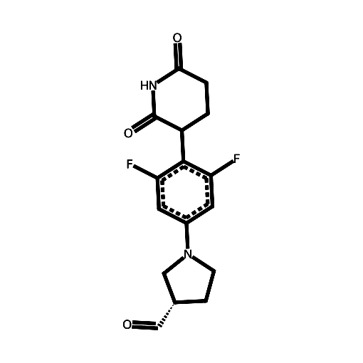 O=C[C@H]1CCN(c2cc(F)c(C3CCC(=O)NC3=O)c(F)c2)C1